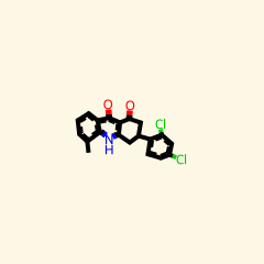 Cc1cccc2c(=O)c3c([nH]c12)CC(c1ccc(Cl)cc1Cl)CC3=O